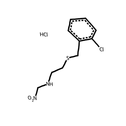 Cl.O=[N+]([O-])CNCCSCc1ccccc1Cl